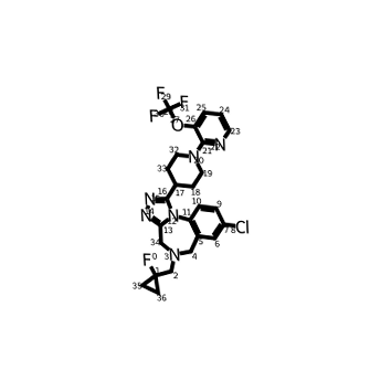 FC1(CN2Cc3cc(Cl)ccc3-n3c(nnc3C3CCN(c4ncccc4OC(F)(F)F)CC3)C2)CC1